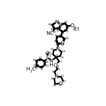 CCOc1cc(-c2ccc(N3CCC(COCCN4CCOCC4)(N[S+]([O-])c4ccc(C)cc4)CC3)nc2)c2c(C#N)cnn2c1